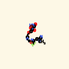 Cn1c2ccncc2c2ccc(-c3cnc(O[C@H]4C[C@H](CN5CCC(CCOc6ccc7c(c6)C(=O)N(C6CCC(=O)NC6=O)C7=O)CC5)C4)c(C(F)(F)F)c3)cc21